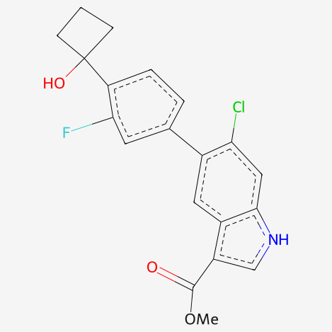 COC(=O)c1c[nH]c2cc(Cl)c(-c3ccc(C4(O)CCC4)c(F)c3)cc12